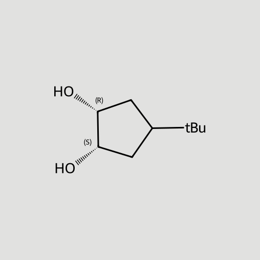 CC(C)(C)C1C[C@@H](O)[C@@H](O)C1